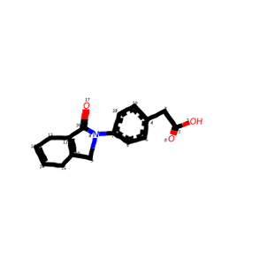 O=C(O)Cc1ccc(N2CC3=C(CC=CC3)C2=O)cc1